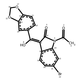 CC(=O)N1C(=O)C(=C(O)c2ccc3c(c2)OCO3)c2ccc(Br)cc21